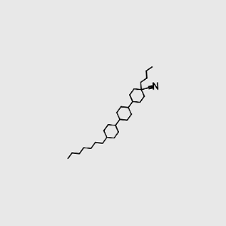 CCCCCCCC1CCC(C2CCC(C3CCC(C#N)(CCCC)CC3)CC2)CC1